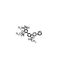 CNC(=O)c1ccc(-c2cc(OC(C)C(F)(F)F)c3c(N)n[nH]c3c2)cc1N1CCN(c2cccnc2)CC1